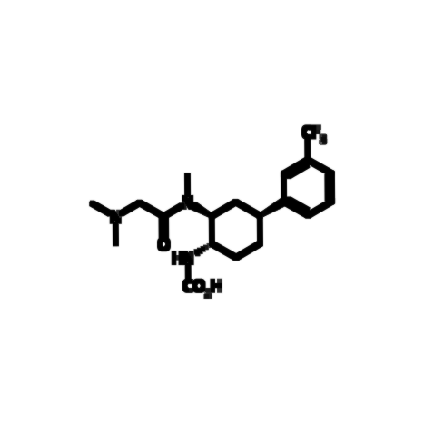 CN(C)CC(=O)N(C)[C@H]1C[C@@H](c2cccc(C(F)(F)F)c2)CC[C@@H]1NC(=O)O